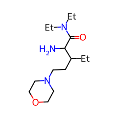 CCC(CCN1CCOCC1)C(N)C(=O)N(CC)CC